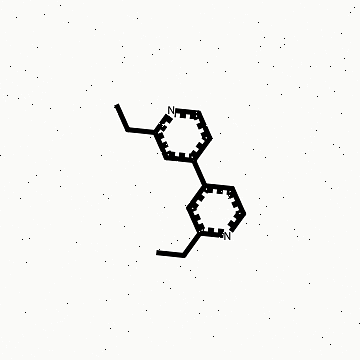 CCc1cc(-c2ccnc(CC)c2)ccn1